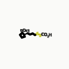 CCCCCCCC[C@H]1CCC[C@@H]1CCCCSSC(=O)O